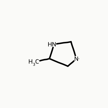 CC1C[N]CN1